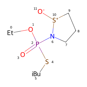 CCOP(=O)(SC(C)CC)N1CCC[S+]1[O-]